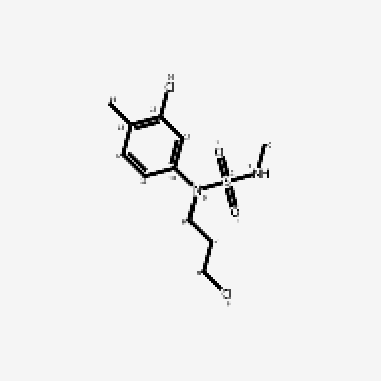 CNS(=O)(=O)N(CCCCl)c1ccc(C)c(Cl)c1